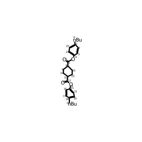 CCCCc1ccc(OC(=O)C2CCC(C(=O)Oc3ccc(CCCC)cc3)CC2)cc1